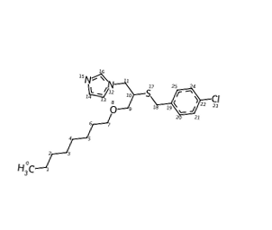 CCCCCCCCOCC(Cn1ccnc1)SCc1ccc(Cl)cc1